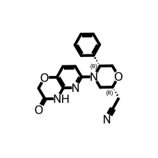 N#CC[C@@H]1CN(c2ccc3c(n2)NC(=O)CO3)[C@H](c2ccccc2)CO1